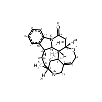 C[C@@H]1C[C@@H]2C3=CCO[C@H]4CC(=O)N5c6ccccc6[C@@H](CCN1C3)[C@@H]5[C@H]42